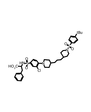 CC(C)(C)c1ccc(S(=O)(=O)N2CCC(CCCC3CCN(c4ccc(S(=O)(=O)NC(Cc5ccccc5)C(=O)O)cc4Cl)CC3)CC2)cc1